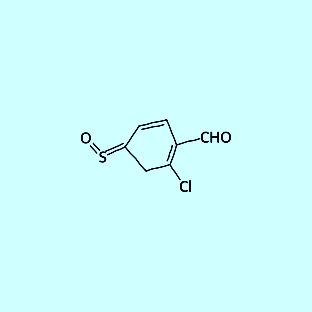 O=CC1=C(Cl)CC(=S=O)C=C1